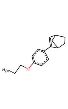 [SiH3]CCOc1ccc(C2=CC3CCC2C3)cc1